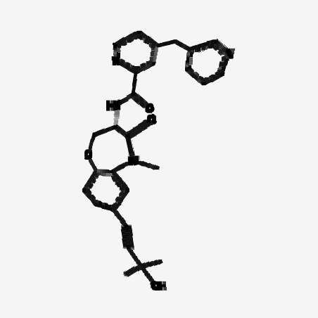 CN1C(=O)[C@@H](NC(=O)c2cc(Cc3cccnc3)ccn2)COc2ccc(C#CC(C)(C)O)cc21